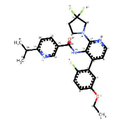 CCOc1ccc(F)c(-c2ccnc(N3CCC(F)(F)C3)c2NC(=O)c2ccc(C(C)C)nc2)c1